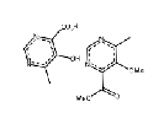 COC(=O)c1ncnc(C)c1OC.Cc1ncnc(C(=O)O)c1O